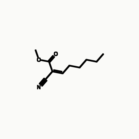 CCCCCC=C(C#N)C(=O)OC